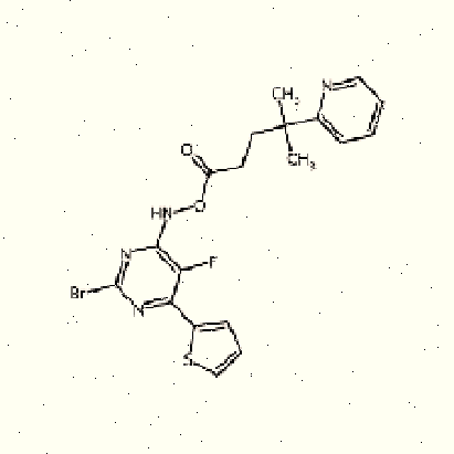 CC(C)(CCC(=O)ONc1nc(Br)nc(-c2cccs2)c1F)c1ccccn1